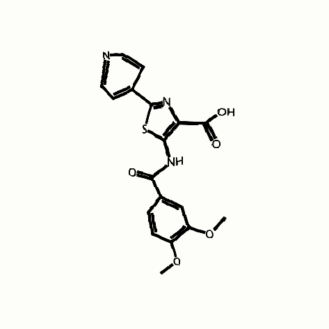 COc1ccc(C(=O)Nc2sc(-c3ccncc3)nc2C(=O)O)cc1OC